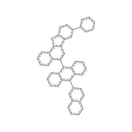 c1ccc(-c2ccc3oc4c5ccccc5c(-c5c6ccccc6c(-c6ccc7ccccc7c6)c6ccccc56)cc4c3c2)cc1